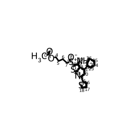 CC(=O)OCCCC[S@+]([O-])c1sc2nc(-c3cccs3)cc(-c3ccccc3)c2c1N